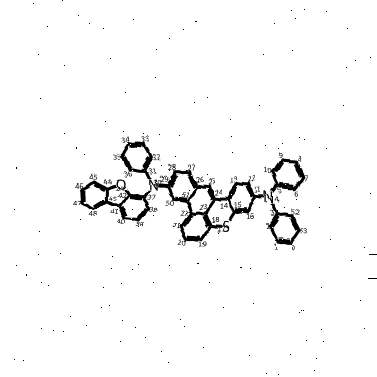 c1ccc(N(c2ccccc2)c2ccc3c(c2)Sc2cccc4c2c-3cc2ccc(N(c3ccccc3)c3cccc5c3oc3ccccc35)cc24)cc1